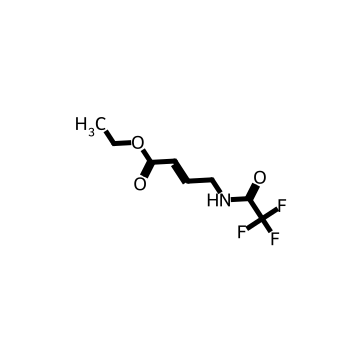 CCOC(=O)/C=C/CNC(=O)C(F)(F)F